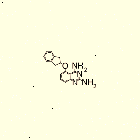 Nc1nc(N)c2c(OC3Cc4ccccc4C3)cccc2n1